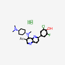 CC(=O)c1cnc2ccc(-c3cc(F)c(O)c(Cl)c3)nc2c1N(C)[C@H]1CC[C@H](N(C)C)CC1.Cl.Cl